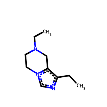 CCc1ncn2c1CN(CC)CC2